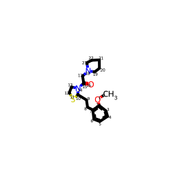 COc1ccccc1CCC1SCCN1C(=O)CN1CCCCC1